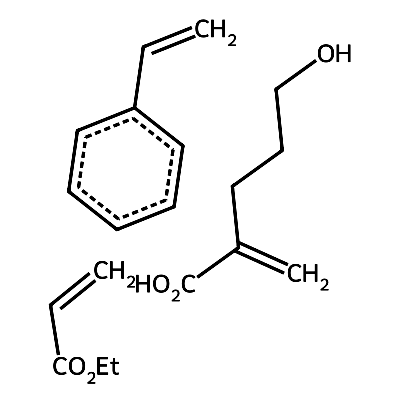 C=C(CCCO)C(=O)O.C=CC(=O)OCC.C=Cc1ccccc1